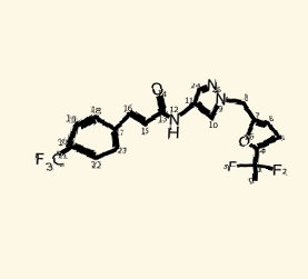 CC(F)(F)c1ccc(Cn2cc(NC(=O)/C=C/c3ccc(C(F)(F)F)cc3)cn2)o1